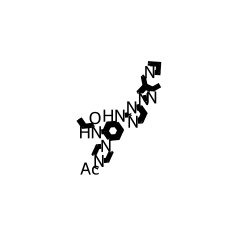 C=CC(=O)Nc1cc(Nc2nccc(-n3cc(CN4CCC4)c(C)n3)n2)ccc1N1CCN(C(C)=O)CC1